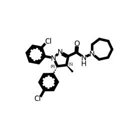 C[C@@H]1C(C(=O)NN2CCCCCC2)=NN(c2ccccc2Cl)[C@H]1c1ccc(Cl)cc1